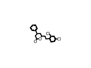 O=C1CC(c2ccccc2)CC(CCc2ccc(Cl)cc2Cl)O1